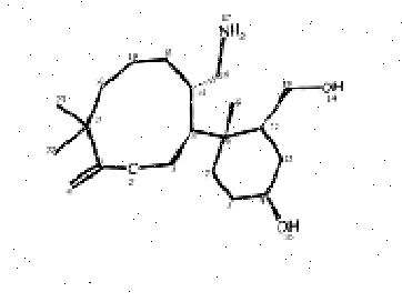 C=C1CC[C@H]([C@@]2(C)CC[C@H](O)C[C@@H]2CO)[C@@H](CN)CCCC1(C)C